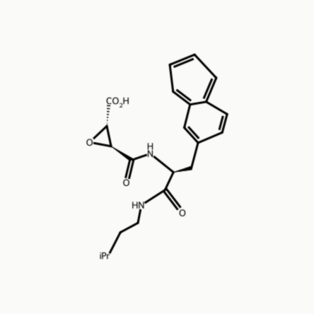 CC(C)CCNC(=O)[C@H](Cc1ccc2ccccc2c1)NC(=O)[C@H]1O[C@@H]1C(=O)O